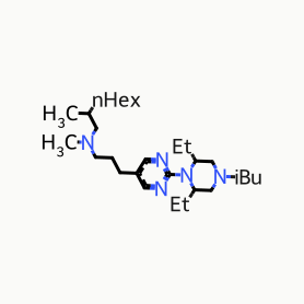 CCCCCCC(C)CN(C)CCCc1cnc(N2C(CC)CN(C(C)CC)CC2CC)nc1